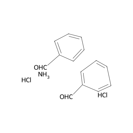 Cl.Cl.N.O=Cc1ccccc1.O=Cc1ccccc1